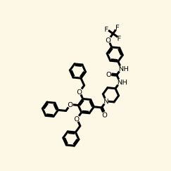 O=C(Nc1ccc(OC(F)(F)F)cc1)NC1CCN(C(=O)c2cc(OCc3ccccc3)c(OCc3ccccc3)c(OCc3ccccc3)c2)CC1